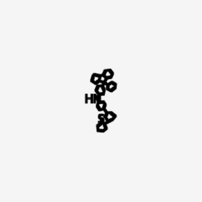 c1ccc(C2(c3ccc(Nc4ccc(-c5cccc6c5sc5ccccc56)cc4)cc3)c3ccccc3-c3ccccc32)cc1